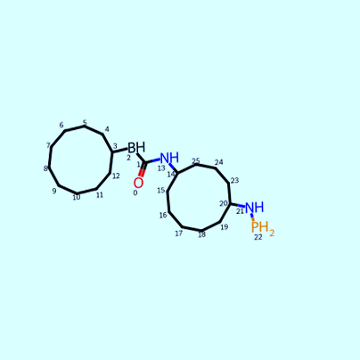 O=C(BC1CCCCCCCCC1)NC1CCCCCC(NP)CCC1